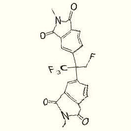 CN1C(=O)c2ccc(C(CF)(c3ccc4c(c3)C(=O)N(C)C4=O)C(F)(F)F)cc2C1=O